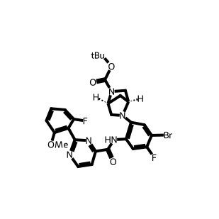 COc1cccc(F)c1-c1nccc(C(=O)Nc2cc(F)c(Br)cc2N2C[C@@H]3C[C@H]2CN3C(=O)OC(C)(C)C)n1